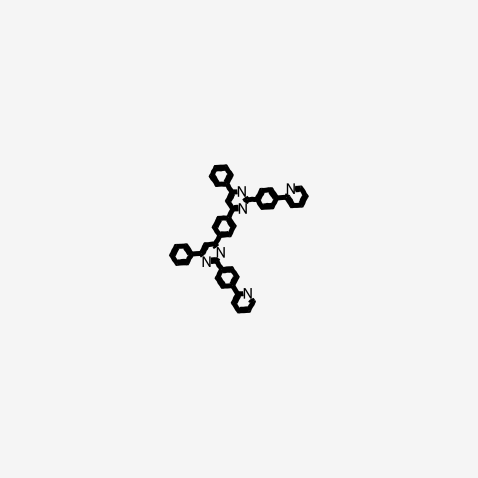 c1ccc(-c2cc(-c3ccc(-c4cc(-c5ccccc5)nc(-c5ccc(-c6ccccn6)cc5)n4)cc3)nc(-c3ccc(-c4ccccn4)cc3)n2)cc1